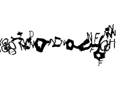 CC[C@@H]([C@H](C)OP(=O)(O)O)n1ncn(-c2ccc(N3CCN(c4ccc(-c5ccc(C(F)(F)[C@](O)(Cn6cnnn6)c6ccc(F)cc6F)nc5)cc4)CC3)cc2)c1=O